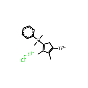 CC1=[C]([Ti+3])CC([Si](C)(C)c2ccccc2)=C1C.[Cl-].[Cl-].[Cl-]